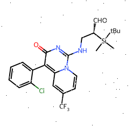 CC(C)(C)[Si](C)(C)[C@H](C=O)CNc1nc(=O)c(-c2ccccc2Cl)c2cc(C(F)(F)F)ccn12